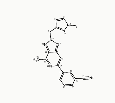 Cn1ccc(Cn2nc3cc(-c4cccc(C#N)c4)nc(N)c3n2)n1